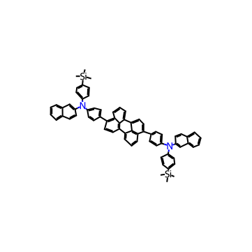 C[Si](C)(C)c1ccc(N(c2ccc(-c3ccc4c5cccc6c(-c7ccc(N(c8ccc([Si](C)(C)C)cc8)c8ccc9ccccc9c8)cc7)ccc(c7cccc3c74)c65)cc2)c2ccc3ccccc3c2)cc1